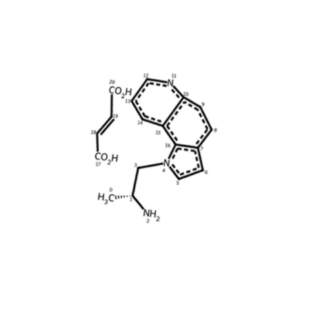 C[C@@H](N)Cn1ccc2ccc3ncccc3c21.O=C(O)/C=C/C(=O)O